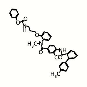 Cc1ccc(-c2ccccc2C(=O)Nc2ccc(C(=O)N(C)c3ccccc3OCCCNC(=O)Oc3ccccc3)cc2Cl)cc1